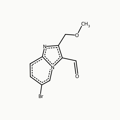 COCc1nc2ccc(Br)cn2c1C=O